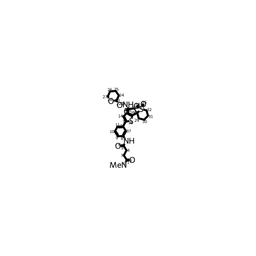 CNC(=O)CCC(=O)Nc1cccc(-c2ccc([C@@]3(CC(=O)NOC4CCCCO4)CCCCS3(=O)=O)s2)c1